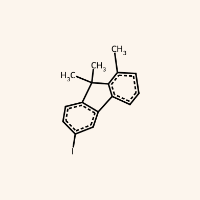 Cc1cccc2c1C(C)(C)c1ccc(I)cc1-2